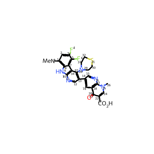 CNc1cc(F)c(F)c2c1[nH]c1ncc(-c3cnc4c(c3)c(=O)c(C(=O)O)cn4C)c(N3CCSCC3)c12